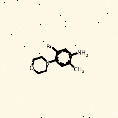 Cc1cc(N2CCOCC2)c(Br)cc1N